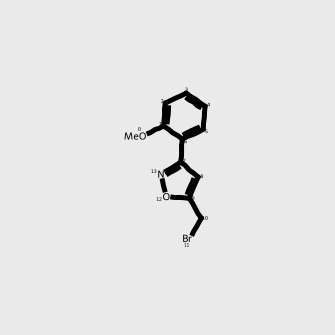 COc1ccccc1-c1cc(CBr)on1